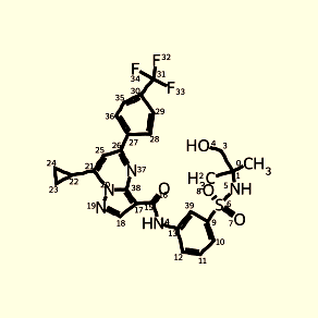 CC(C)(CO)NS(=O)(=O)c1cccc(NC(=O)c2cnn3c(C4CC4)cc(-c4ccc(C(F)(F)F)cc4)nc23)c1